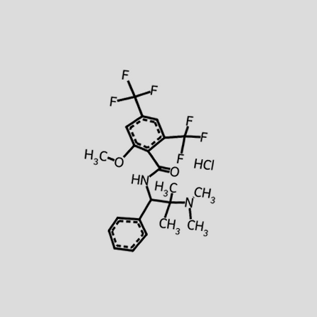 COc1cc(C(F)(F)F)cc(C(F)(F)F)c1C(=O)NC(c1ccccc1)C(C)(C)N(C)C.Cl